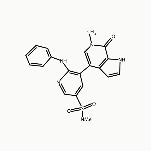 CNS(=O)(=O)c1cnc(Nc2ccccc2)c(-c2cn(C)c(=O)c3[nH]ccc23)c1